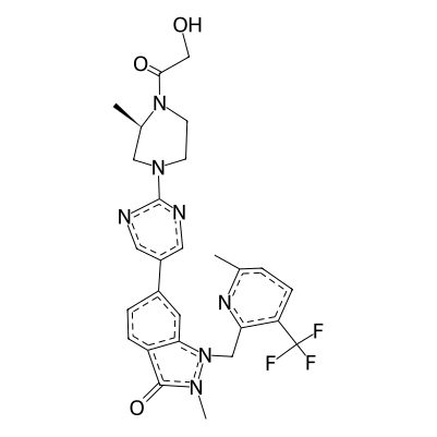 Cc1ccc(C(F)(F)F)c(Cn2c3cc(-c4cnc(N5CCN(C(=O)CO)[C@H](C)C5)nc4)ccc3c(=O)n2C)n1